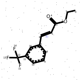 CCOC(=O)/C=C/c1cccc(C(F)(F)F)c1